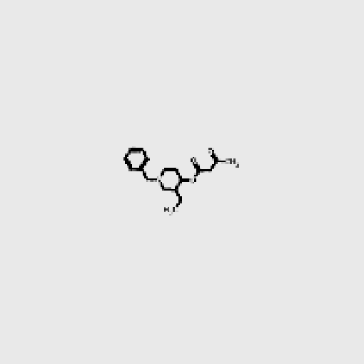 CCC1CN(Cc2ccccc2)CCC1OC(=O)CC(C)=O